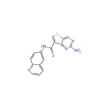 Nc1ncc2scc(C(=O)Nc3ccc4ncccc4c3)c2n1